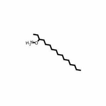 CCCCCCCCCCCCCC(CC)ON